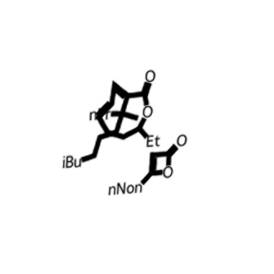 CCCC(C)(CCCC(C)CC)/C1=C\C=C\CCC(CC)OC1=O.CCCCCCCCCC1=CC(=O)O1